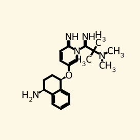 CN(C)C(C)(C)C(=N)n1cc(O[C@@H]2CC[C@H](N)c3ccccc32)ccc1=N